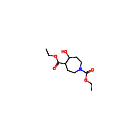 CCOC(=O)C1CCN(C(=O)OCC)CCC1O